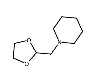 [CH]1CCN(CC2OCCO2)CC1